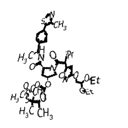 CCOC(COc1cc(C(C(=O)N2C[C@H](OC(=O)OC(C)C(C)(C)SS(C)(=O)=O)C[C@H]2C(=O)N[C@@H](C)c2ccc(-c3scnc3C)cc2)C(C)C)on1)OCC